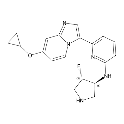 F[C@H]1CNC[C@@H]1Nc1cccc(-c2cnc3cc(OC4CC4)ccn23)n1